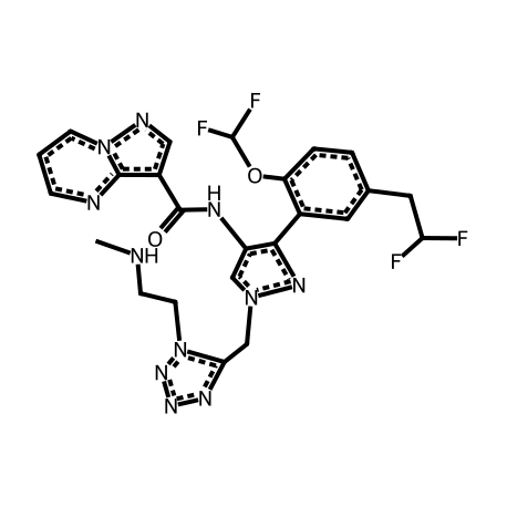 CNCCn1nnnc1Cn1cc(NC(=O)c2cnn3cccnc23)c(-c2cc(CC(F)F)ccc2OC(F)F)n1